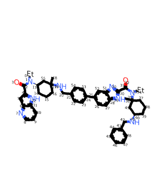 CCN(C(=O)c1cc2ncccc2[nH]1)[C@H]1CCCC(C)(NCc2ccc(-c3ccc4[nH]c(C(=O)N(CC)C5(C)CCC[C@@H](NCc6ccccc6)C5)nc4c3)cc2)C1